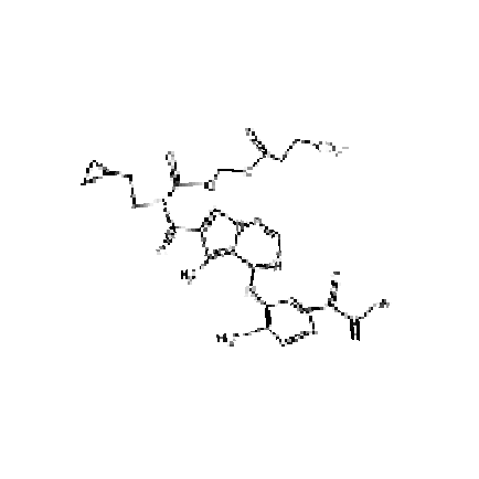 CCCNC(=O)c1ccc(C)c(Nc2ncnn3cc(C(=O)N(CCC4CC4)C(=O)OCOC(=O)CCC(=O)O)c(C)c23)c1